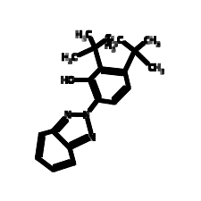 CC(C)(C)c1ccc(-n2nc3ccccc3n2)c(O)c1C(C)(C)C